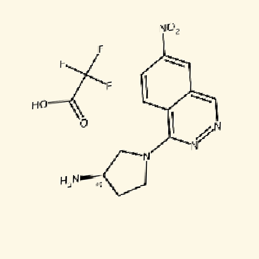 N[C@@H]1CCN(c2nncc3cc([N+](=O)[O-])ccc23)C1.O=C(O)C(F)(F)F